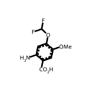 COc1cc(C(=O)O)c(N)cc1OC(F)F